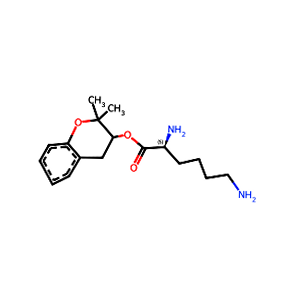 CC1(C)Oc2ccccc2CC1OC(=O)[C@@H](N)CCCCN